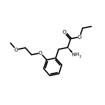 CCOC(=O)[C@@H](N)Cc1ccccc1OCCOC